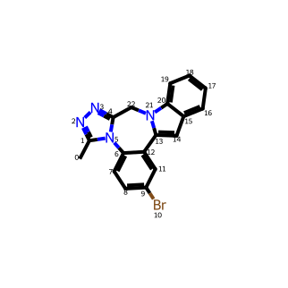 Cc1nnc2n1-c1ccc(Br)cc1-c1cc3ccccc3n1C2